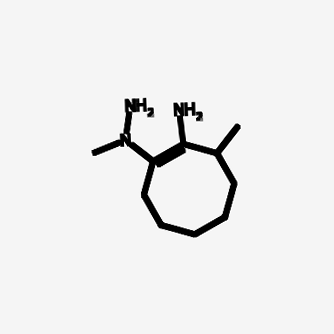 CC1CCCCC/C(N(C)N)=C\1N